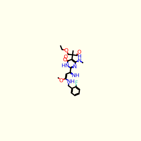 CCOC(=O)C(C)(C=O)c1c(NC)nc(C(=N)/C=C(\NCc2ccccc2F)OC)[nH]c1=O